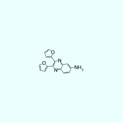 Nc1ccc2nc(-c3ccco3)c(-c3ccco3)nc2c1